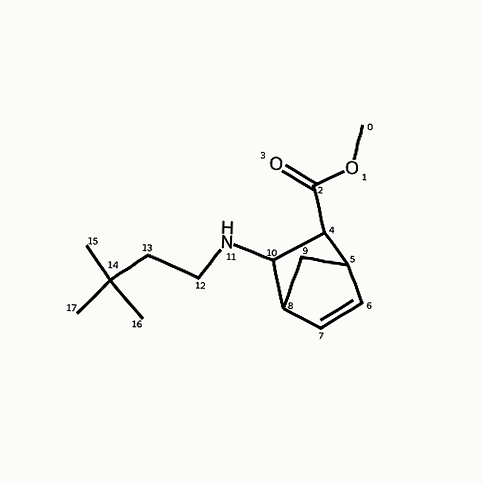 COC(=O)C1C2C=CC(C2)C1NCCC(C)(C)C